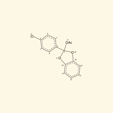 CC(=O)OC1(c2ccc(Cl)cc2)Oc2ccccc2O1